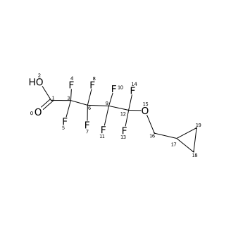 O=C(O)C(F)(F)C(F)(F)C(F)(F)C(F)(F)OCC1CC1